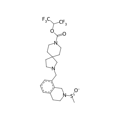 C[S+]([O-])N1CCc2cccc(CN3CCC4(CCN(C(=O)OC(C(F)(F)F)C(F)(F)F)CC4)C3)c2C1